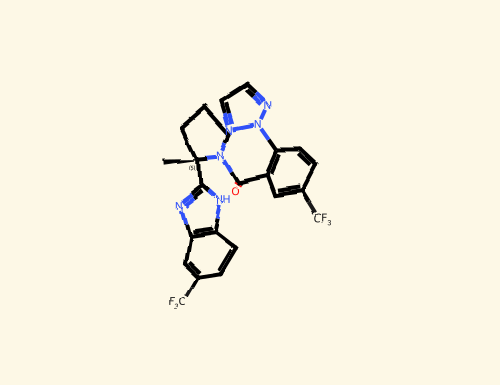 C[C@@]1(c2nc3cc(C(F)(F)F)ccc3[nH]2)CCCN1C(=O)c1cc(C(F)(F)F)ccc1-n1nccn1